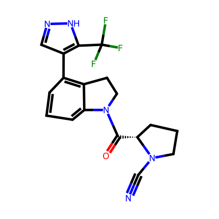 N#CN1CCC[C@H]1C(=O)N1CCc2c(-c3cn[nH]c3C(F)(F)F)cccc21